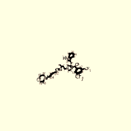 CC(CCN1CCN(C(=O)c2cc(C(F)(F)F)cc(C(F)(F)F)c2)[C@H](Cc2c[nH]c3ccccc23)C1)=NOCCCN1CCOCC1